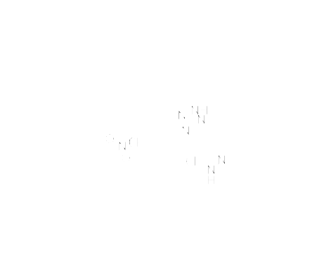 O=[N+]([O-])c1ccc(CN2NN=C(c3cn[nH]c3)N2c2cc(Cl)ccc2Cl)cc1